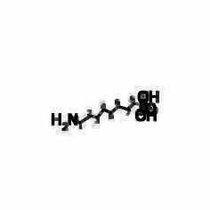 NCCCCCCCCP(=O)(O)O